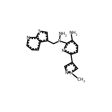 Cn1cc(-c2ccc(N)c(N(N)Cc3csc4ncccc34)n2)cn1